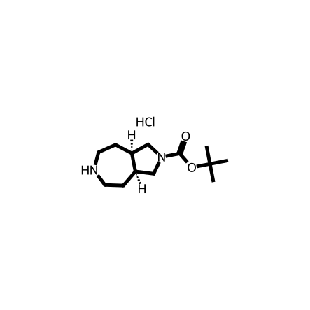 CC(C)(C)OC(=O)N1C[C@H]2CCNCC[C@H]2C1.Cl